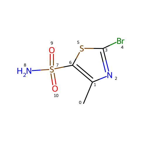 Cc1nc(Br)sc1S(N)(=O)=O